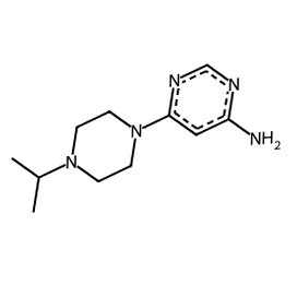 CC(C)N1CCN(c2cc(N)ncn2)CC1